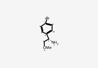 COC[C@@H](N)c1ccc(Br)cc1